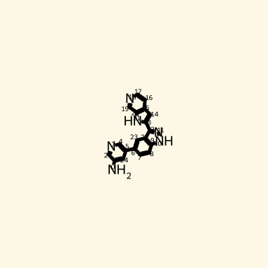 Nc1cncc(-c2ccc3[nH]nc(-c4cc5ccncc5[nH]4)c3c2)c1